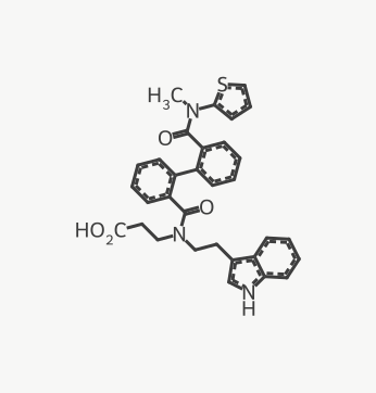 CN(C(=O)c1ccccc1-c1ccccc1C(=O)N(CCC(=O)O)CCc1c[nH]c2ccccc12)c1cccs1